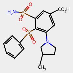 CC1CCN(c2cc(C(=O)O)cc(S(N)(=O)=O)c2S(=O)(=O)c2ccccc2)C1